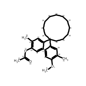 COc1ccc(C2(c3ccc(OC(C)=O)c(C)c3)CCCCCCCCCCC2)cc1C